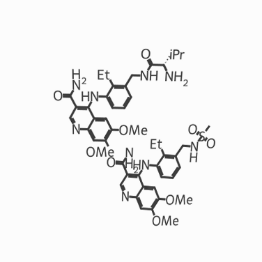 CCc1c(CNC(=O)[C@@H](N)C(C)C)cccc1Nc1c(C(N)=O)cnc2cc(OC)c(OC)cc12.CCc1c(CNS(C)(=O)=O)cccc1Nc1c(C(N)=O)cnc2cc(OC)c(OC)cc12